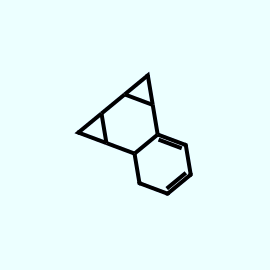 C1=CCC2C(=C1)C1CC1C1CC21